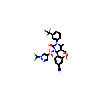 CC1=C(C#N)[C@@H](c2ccc(C#N)cc2S(C)(=O)=O)N(S(=O)(=O)c2cnn(C(F)F)c2)C(=O)N1c1cccc(C(F)(F)F)c1